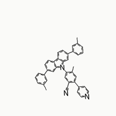 Cc1cccc(-c2ccc3c4ccc(-c5cccc(C)c5)cc4n(-c4cc(C#N)c(-c5ccncc5)cc4C)c3c2)c1